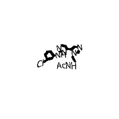 CC(=O)NCCn1cncc1-c1ccnc(Nc2cccc(Cl)c2)n1